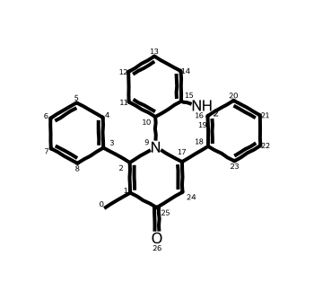 Cc1c(-c2ccccc2)n(-c2ccccc2N)c(-c2ccccc2)cc1=O